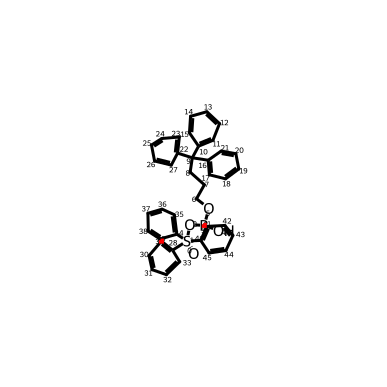 O=S(OB(O)OCCCC(c1ccccc1)(c1ccccc1)c1ccccc1)(c1ccccc1)(c1ccccc1)c1ccccc1